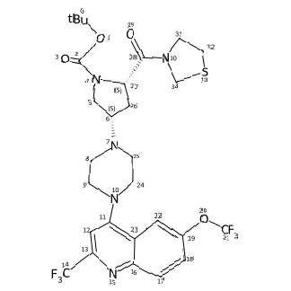 CC(C)(C)OC(=O)N1C[C@@H](N2CCN(c3cc(C(F)(F)F)nc4ccc(OC(F)(F)F)cc34)CC2)C[C@H]1C(=O)N1CCSC1